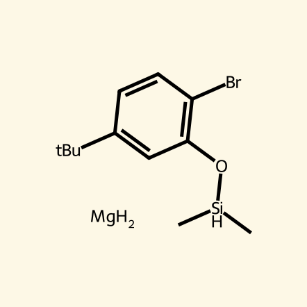 C[SiH](C)Oc1cc(C(C)(C)C)ccc1Br.[MgH2]